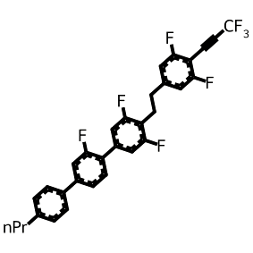 CCCc1ccc(-c2ccc(-c3cc(F)c(CCc4cc(F)c(C#CC(F)(F)F)c(F)c4)c(F)c3)c(F)c2)cc1